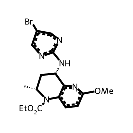 CCOC(=O)N1c2ccc(OC)nc2[C@@H](Nc2ncc(Br)cn2)C[C@H]1C